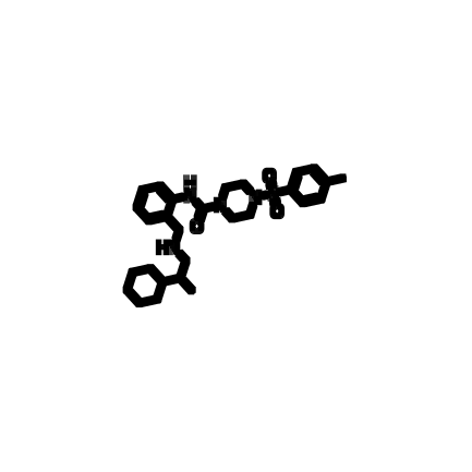 Cc1ccc(S(=O)(=O)N2CCN(C(=O)Nc3ccccc3CNCC(C)C3CCCCC3)CC2)cc1